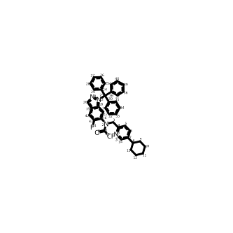 O=C(N(Cc1ccc(C2CCCCC2)cn1)c1cc2c(cnn2C(c2ccccc2)(c2ccccc2)c2ccccc2)cc1F)C(F)(F)F